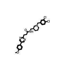 COc1ccc(-c2cnc(CCC(=O)NCC3CCCN(Cc4ccc(Cl)c(Cl)c4)C3)nc2)cc1